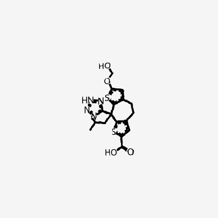 CC(C)CC1(c2nn[nH]n2)c2sc(OCO)cc2CCc2cc(C(=O)O)sc21